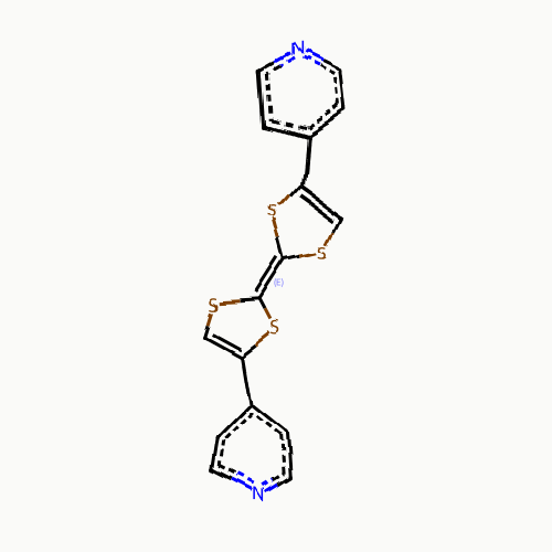 C1=C(c2ccncc2)S/C(=C2\SC=C(c3ccncc3)S2)S1